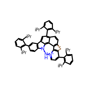 CC(C)c1cccc(C(C)C)c1-c1ccc2c(c1)c1cc(-c3c(C(C)C)cccc3C(C)C)c3ccc4sc5c(-c6c(C(C)C)cccc6C(C)C)cc[n+]6[nH]n2c1c3c4c56